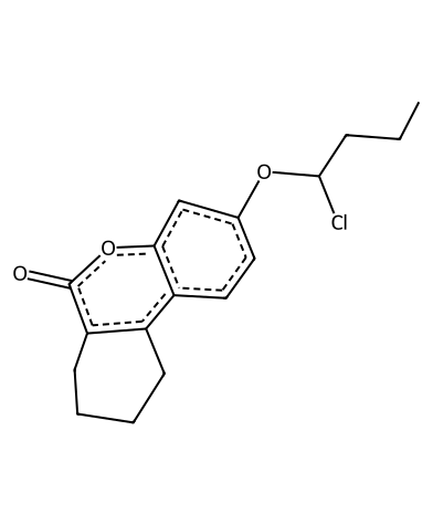 CCCC(Cl)Oc1ccc2c3c(c(=O)oc2c1)CCCC3